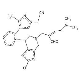 CN(C)C/C=C(\C=O)CN1Cc2sc(Cl)cc2[C@H](c2ccccc2-c2cn(CC#N)nc2C(F)(F)F)C1